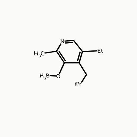 BOc1c(C)ncc(CC)c1CC(C)C